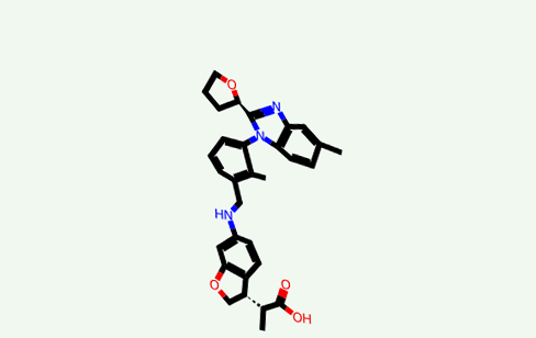 Cc1ccc2c(c1)nc([C@H]1CCCO1)n2-c1cccc(CNc2ccc3c(c2)OC[C@H]3C(C)C(=O)O)c1C